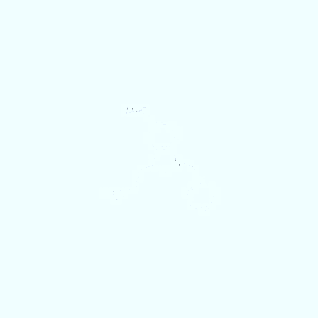 COc1ccc2c(c1)C(CCC(=O)O)CN2Cc1ccccc1